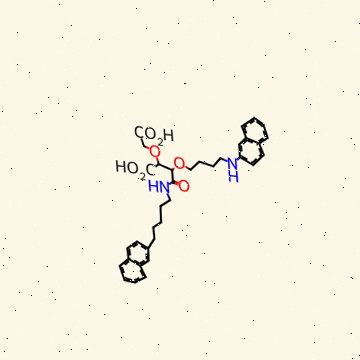 O=C(O)COC(C(=O)O)C(OCCCCNc1ccc2ccccc2c1)C(=O)NCCCCCc1ccc2ccccc2c1